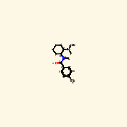 CCCCN(C)C1CCCCC1N(C)C(=O)c1ccc(C#N)cc1